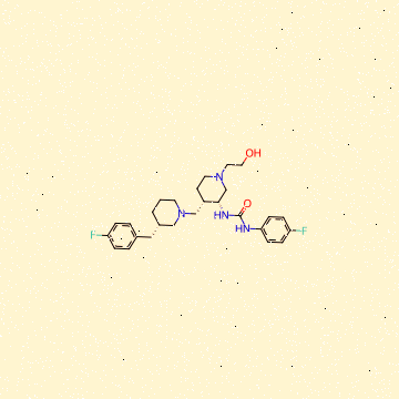 O=C(Nc1ccc(F)cc1)N[C@H]1CN(CCO)CC[C@H]1CN1CCC[C@@H](Cc2ccc(F)cc2)C1